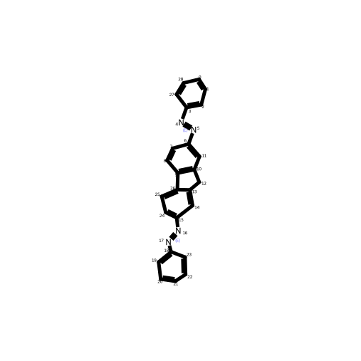 c1ccc(/N=N/c2ccc3c(c2)Cc2cc(/N=N/c4ccccc4)ccc2-3)cc1